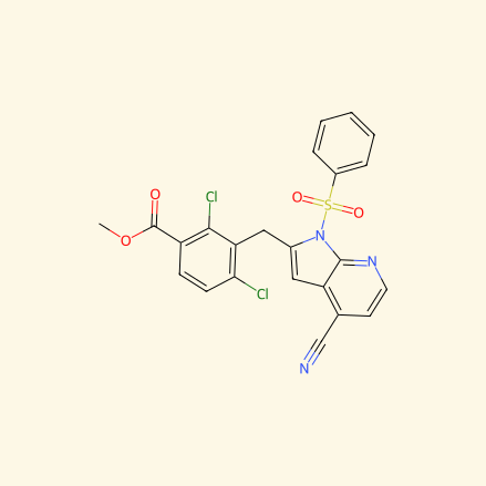 COC(=O)c1ccc(Cl)c(Cc2cc3c(C#N)ccnc3n2S(=O)(=O)c2ccccc2)c1Cl